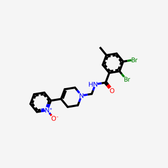 Cc1cc(Br)c(Br)c(C(=O)NCN2CC=C(c3cccc[n+]3[O-])CC2)c1